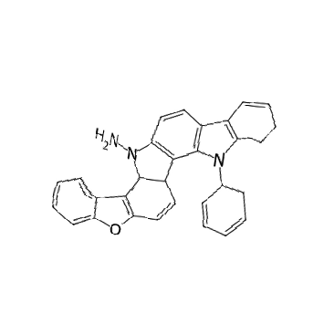 NN1c2ccc3c4c(n(C5C=CC=CC5)c3c2C2C=Cc3oc5ccccc5c3C21)CCC=C4